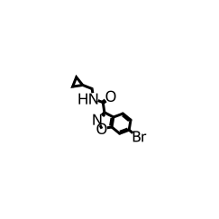 O=C(NCC1CC1)c1noc2cc(Br)ccc12